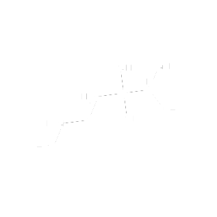 [SiH3][SiH2][SiH2][SiH2][Si]([SiH3])([SiH3])[SiH]([SiH3])[SiH3]